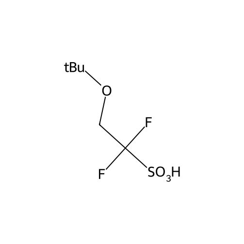 CC(C)(C)OCC(F)(F)S(=O)(=O)O